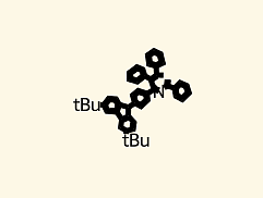 C=C(/N=C(\C(=C(/C)c1ccccc1)c1ccccc1)c1ccc(C2C3=C(CC(C(C)(C)C)C=C3)c3cc(C(C)(C)C)ccc32)cc1)c1ccccc1